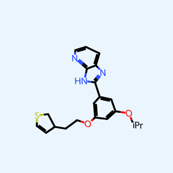 CC(C)Oc1cc(OCCC2C=CSC2)cc(-c2nc3cccnc3[nH]2)c1